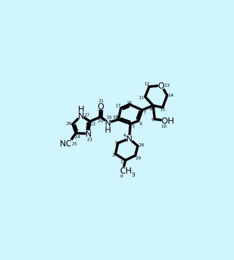 CC1CCN(c2cc(C3(CO)CCOCC3)ccc2NC(=O)c2nc(C#N)c[nH]2)CC1